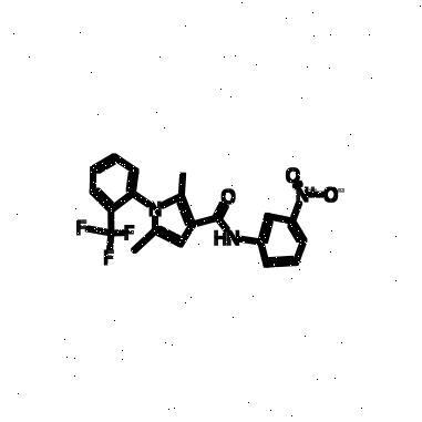 Cc1cc(C(=O)Nc2cccc([N+](=O)[O-])c2)c(C)n1-c1ccccc1C(F)(F)F